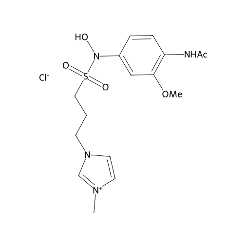 COc1cc(N(O)S(=O)(=O)CCCn2cc[n+](C)c2)ccc1NC(C)=O.[Cl-]